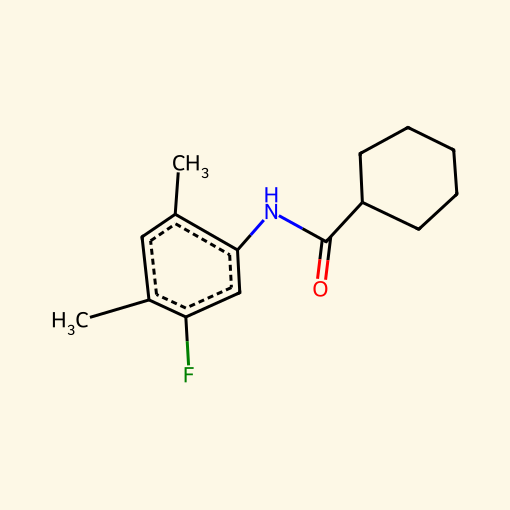 Cc1cc(C)c(NC(=O)C2CCCCC2)cc1F